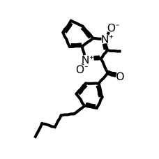 CCCCCc1ccc(C(=O)c2c(C)[n+]([O-])c3ccccc3[n+]2[O-])cc1